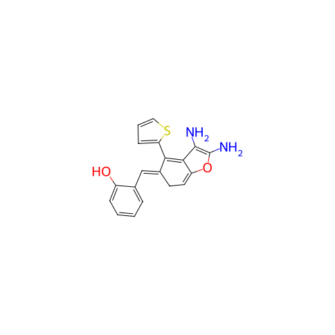 Nc1oc2c(c1N)=C(c1cccs1)C(=Cc1ccccc1O)CC=2